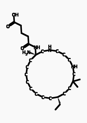 CC[C@@H]1CCCCCCCC[C@@](N)(NC(=O)CCCC(=O)O)CNCCCNCC(C)(C)CC1